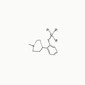 CC(C)[Si](Sc1ccccc1C1CCN(C)CC1)(C(C)C)C(C)C